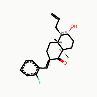 C=CC[C@H]1[C@H](O)CC[C@@]2(C)C(=O)/C(=C/c3ccccc3F)CC[C@H]12